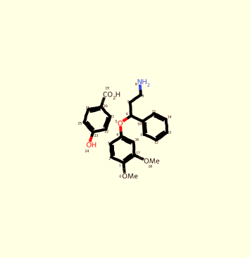 COc1ccc(OC(CCN)c2ccccc2)cc1OC.O=C(O)c1ccc(O)cc1